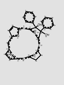 OC1(c2ccccc2)c2cc3nc(cc4ccc(cc5nc(cc([nH]2)C1(O)c1ccccc1)CC5)[nH]4)C=C3